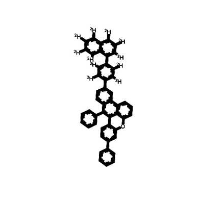 [2H]c1c([2H])c(-c2c([2H])c([2H])c([2H])c3c([2H])c([2H])c([2H])c([2H])c23)c([2H])c([2H])c1-c1ccc2c(-c3ccccc3)c3c4c(cccc4c2c1)Oc1cc(-c2ccccc2)ccc1-3